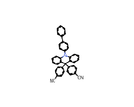 N#Cc1ccc(C2(c3ccc(C#N)cc3)c3ccccc3N(c3ccc(-c4ccccc4)cc3)c3ccccc32)cc1